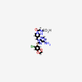 C[C@H](NC(=O)O)C(=O)N1CCC(Cn2c(Sc3cc4c(cc3Br)OCCO4)nc3c(N)ncnc32)CC1